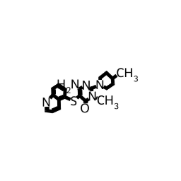 CC1CCN(c2nc(N)c(Sc3cccc4ncccc34)c(=O)n2C)CC1